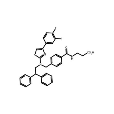 O=C(O)CCNC(=O)c1ccc(CN(CC(c2ccccc2)c2ccccc2)c2nc(-c3ccc(F)c(F)c3)cs2)cc1